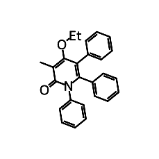 CCOc1c(-c2ccccc2)c(-c2ccccc2)n(-c2ccccc2)c(=O)c1C